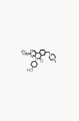 CC(C)Nc1ncc2c3ccc(CN4CCN(C)CC4)cc3c(=O)n([C@H]3CC[C@H](O)CC3)c2n1